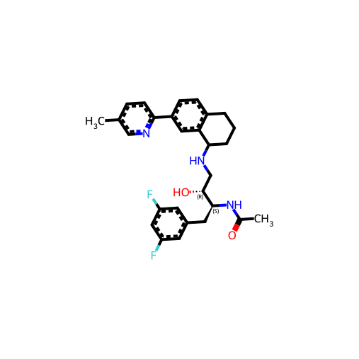 CC(=O)N[C@@H](Cc1cc(F)cc(F)c1)[C@H](O)CNC1CCCc2ccc(-c3ccc(C)cn3)cc21